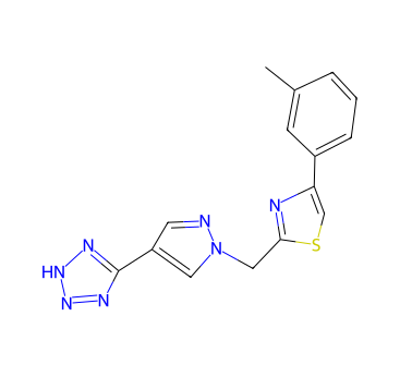 Cc1cccc(-c2csc(Cn3cc(-c4nn[nH]n4)cn3)n2)c1